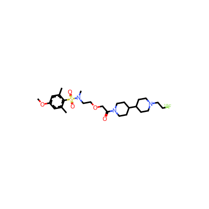 COc1cc(C)c(S(=O)(=O)N(C)CCOCC(=O)N2CCC(C3CCN(CC[18F])CC3)CC2)c(C)c1